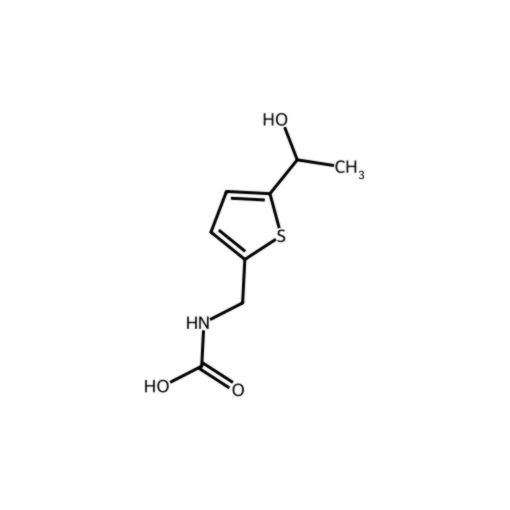 CC(O)c1ccc(CNC(=O)O)s1